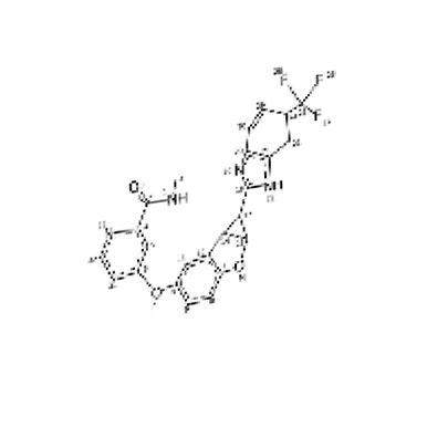 CNC(=O)c1cc(Oc2ccc3c(c2)C2C(O3)C2c2nc3c([nH]2)CC(C(F)(F)F)C=C3)ccn1